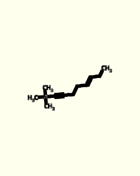 CCC=CCCC#C[Si](C)(C)C